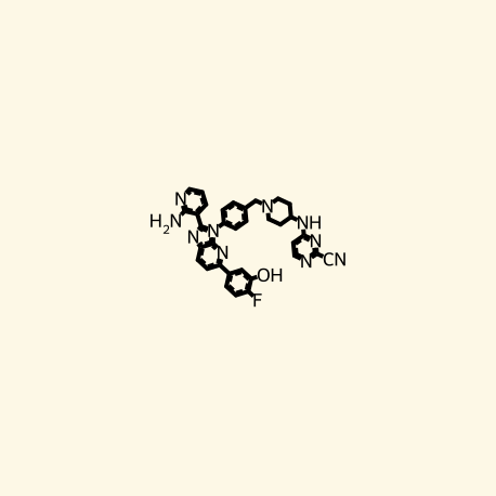 N#Cc1nccc(NC2CCN(Cc3ccc(-n4c(-c5cccnc5N)nc5ccc(-c6ccc(F)c(O)c6)nc54)cc3)CC2)n1